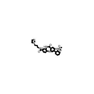 CS(=O)(=O)Nc1ccccc1-c1ccc2c(c1)Nc1ccc(C(=O)NCCCn3ccnc3)cc1NC2=O